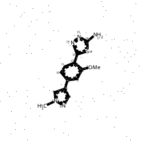 COc1cc(-c2cnn(C)c2)ccc1-c1nnc(N)s1